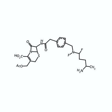 CC(=O)OCC1=C(C(=O)O)N2C(=O)C(NC(=O)Cc3ccc(CN(F)C(F)CCC(C)N)cc3)C2SC1